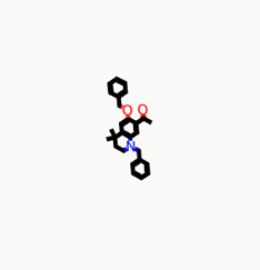 CC(=O)c1cc2c(cc1OCc1ccccc1)C(C)(C)CCN2Cc1ccccc1